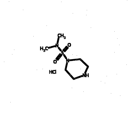 CN(C)S(=O)(=O)N1CCNCC1.Cl